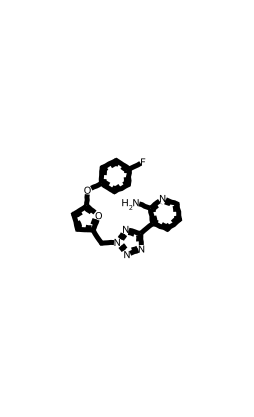 Nc1ncccc1-c1nnn(Cc2ccc(Oc3ccc(F)cc3)o2)n1